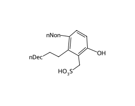 CCCCCCCCCCCCc1c(CCCCCCCCC)ccc(O)c1CS(=O)(=O)O